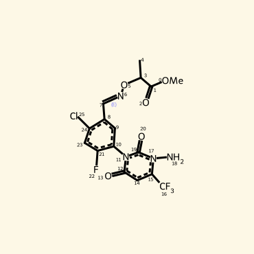 COC(=O)C(C)O/N=C/c1cc(-n2c(=O)cc(C(F)(F)F)n(N)c2=O)c(F)cc1Cl